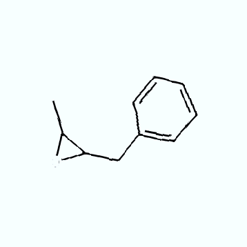 CC1OC1Cc1cc[c]cc1